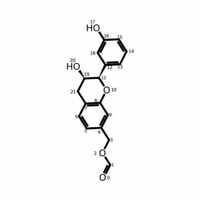 O=COCc1ccc2c(c1)O[C@H](c1cccc(O)c1)[C@H](O)C2